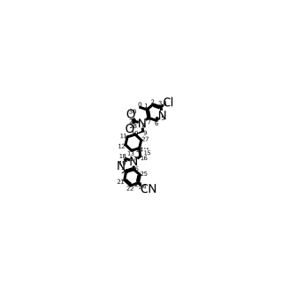 Cc1cc(Cl)ncc1N1C[C@@]2(CCC[C@](C)(Cn3cnc4ccc(C#N)cc43)C2)OC1=O